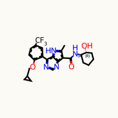 Cc1[nH]c2c(-c3cc(C(F)(F)F)ccc3OCC3CC3)ncnc2c1C(=O)N[C@@H]1CCCC[C@H]1O